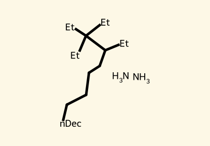 CCCCCCCCCCCCCCC(CC)C(CC)(CC)CC.N.N